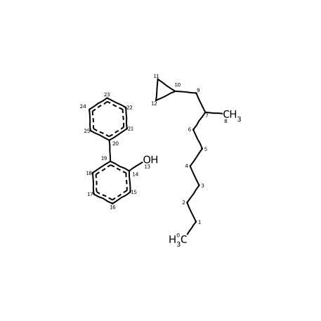 CCCCCCCC(C)CC1CC1.Oc1ccccc1-c1ccccc1